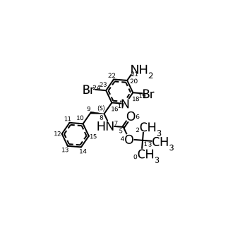 CC(C)(C)OC(=O)N[C@@H](Cc1ccccc1)c1nc(Br)c(N)cc1Br